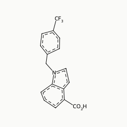 O=C(O)c1cccc2c1ccn2Cc1ccc(C(F)(F)F)cc1